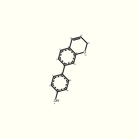 Oc1ccc(-c2ccc3c(c2)OCC=C3)cc1